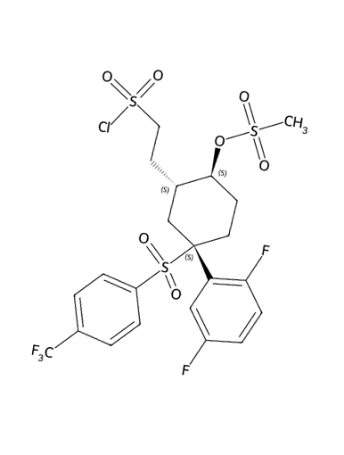 CS(=O)(=O)O[C@H]1CC[C@](c2cc(F)ccc2F)(S(=O)(=O)c2ccc(C(F)(F)F)cc2)C[C@@H]1CCS(=O)(=O)Cl